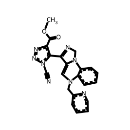 COC(=O)c1nnn(C#N)c1C1=NCN2C1=CN(Cc1ccccn1)c1ccccc12